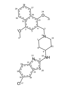 COc1cc(CN2CCC(Nc3nc4ccc(Cl)cc4s3)CC2)c(OC)c2ccccc12